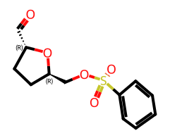 O=C[C@H]1CC[C@H](COS(=O)(=O)c2ccccc2)O1